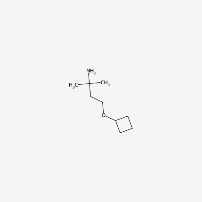 CC(C)(N)CCOC1CCC1